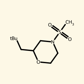 CC(C)(C)CC1CN(S(C)(=O)=O)CCO1